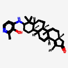 Cc1nccc(NC2CC[C@]3(C)[C@H]4CC[C@@H]5C6=C(C(C)C)C(=O)C[C@]6(C)CC[C@@]5(C)[C@]4(C)CC[C@H]3C2(C)C)c1O